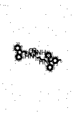 Cc1ccc(C(NCCCC[C@H](NC(=O)OCC2c3ccccc3-c3ccccc32)C(N)=O)(c2ccccc2)c2ccccc2)cc1